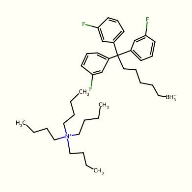 CCCC[N+](CCCC)(CCCC)CCCC.[BH3-]CCCCCC(c1cccc(F)c1)(c1cccc(F)c1)c1cccc(F)c1